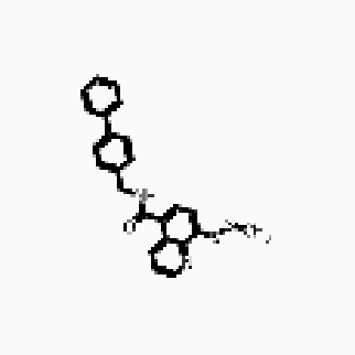 CSSc1ccc(C(=O)NCc2ccc(-c3ccccc3)cc2)c2cccnc12